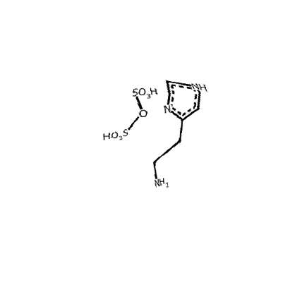 NCCc1c[nH]cn1.O=S(=O)(O)OS(=O)(=O)O